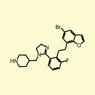 Fc1cccc(C2=NCCN2CC2CCNCC2)c1CCc1cc(Br)cc2ccoc12